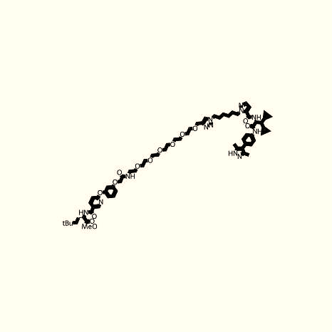 COC(=O)[C@H](CCC(C)(C)C)NC(=O)c1ccc(Oc2cccc(OCC(=O)NCCOCCOCCOCCOCCOCCOCc3cn(CCCCCCn4nccc4C(=O)N[C@H](C(=O)Nc4ccc(-c5c(C)n[nH]c5C)cc4)C(C4CC4)C4CC4)nn3)c2)nc1